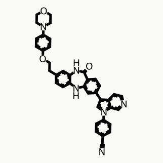 N#Cc1ccc(-n2cc(-c3ccc4c(c3)Nc3ccc(CCOc5ccc(N6CCOCC6)cc5)cc3NC4=O)c3ccncc32)cc1